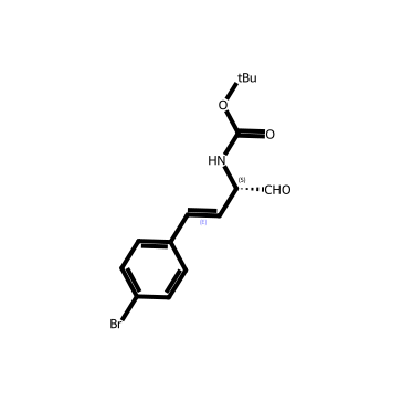 CC(C)(C)OC(=O)N[C@H](C=O)/C=C/c1ccc(Br)cc1